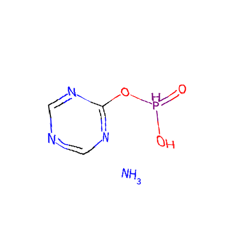 N.O=[PH](O)Oc1ncncn1